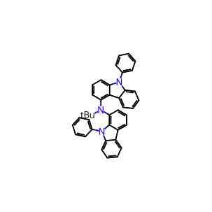 CC(C)(C)N(c1cccc2c1c1ccccc1n2-c1ccccc1)c1cccc2c3ccccc3n(-c3ccccc3)c12